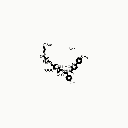 COCCCNC(=O)c1nnc(SCC2=C(C(=O)[O-])N3C(=O)C(NC(=O)C(NC(=O)c4ccc(-c5ccc(C)cc5)nc4O)c4ccc(O)cc4)[C@@H]3SC2)s1.[Na+]